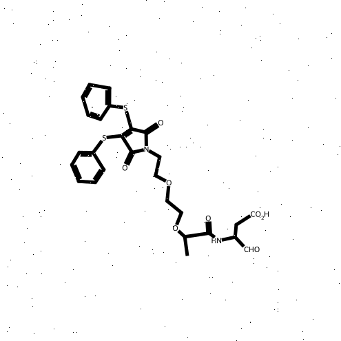 CC(OCCOCCN1C(=O)C(Sc2ccccc2)=C(Sc2ccccc2)C1=O)C(=O)NC(C=O)CC(=O)O